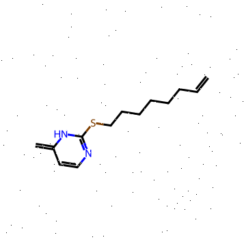 C=CCCCCCCSC1=NC=CC(=C)N1